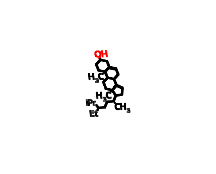 CC[C@H](CC[C@@H](C)C1CCC2C3CC=C4CC(O)CC[C@]4(C)C3CC[C@@]21C)C(C)C